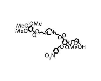 COc1cc(C(=O)OCCCN2CCCN(CCCOC(=O)c3cc(OCc4ccc([N+](=O)[O-])cc4)c(OC)c(OCC4CC[C@@H](CO)O4)c3)CC2)cc(OC)c1OC